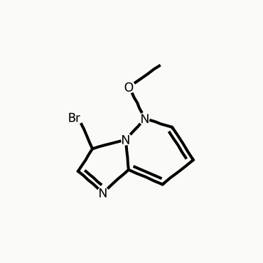 CON1C=CC=C2N=CC(Br)N21